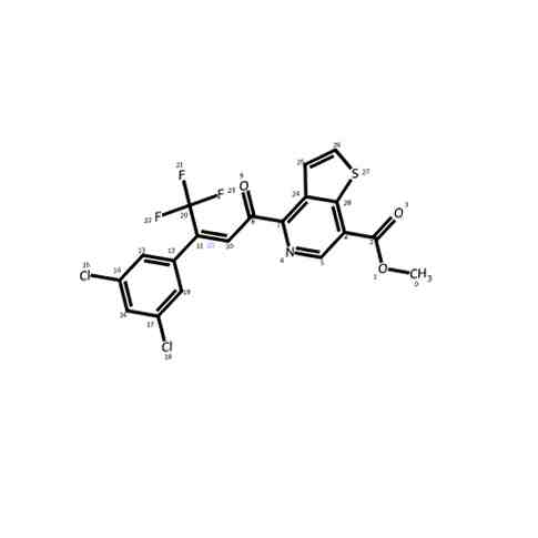 COC(=O)c1cnc(C(=O)/C=C(/c2cc(Cl)cc(Cl)c2)C(F)(F)F)c2ccsc12